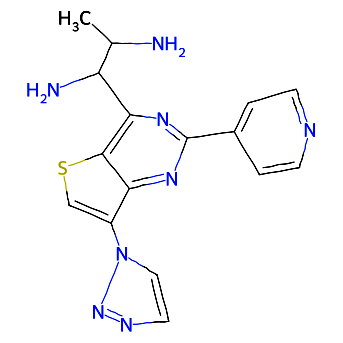 CC(N)C(N)c1nc(-c2ccncc2)nc2c(-n3ccnn3)csc12